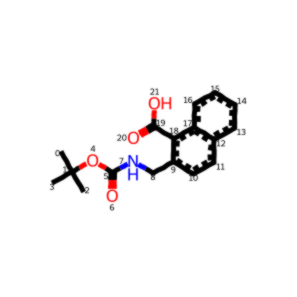 CC(C)(C)OC(=O)NCc1ccc2ccccc2c1C(=O)O